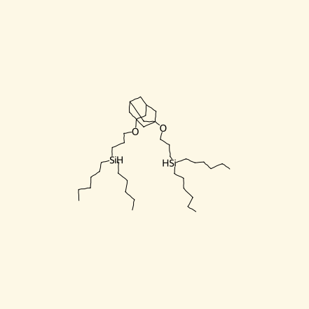 CCCCCC[SiH](CCCCCC)CCCOC12CC3CC(C1)CC(OCCC[SiH](CCCCCC)CCCCCC)(C3)C2